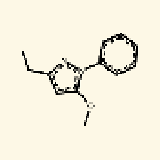 CCc1cc(OC)n(-c2ccccc2)n1